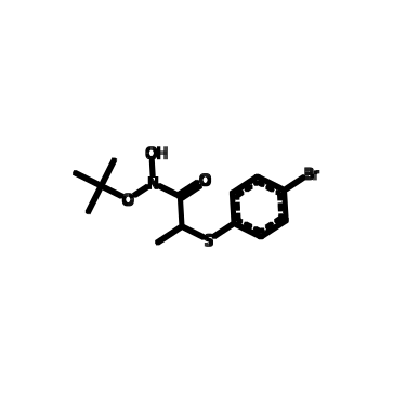 CC(Sc1ccc(Br)cc1)C(=O)N(O)OC(C)(C)C